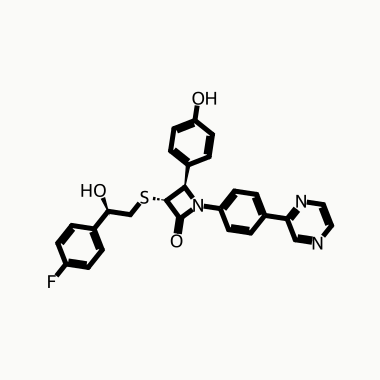 O=C1[C@H](SC[C@H](O)c2ccc(F)cc2)[C@@H](c2ccc(O)cc2)N1c1ccc(-c2cnccn2)cc1